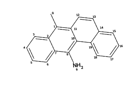 Cc1c2ccccc2c(N)c2c1ccc1ccccc12